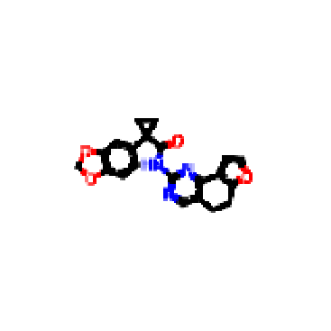 O=C(Nc1ncc2c(n1)-c1ccoc1CC2)C1(c2ccc3c(c2)OCO3)CC1